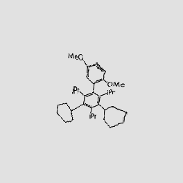 COc1ccc(OC)c(-c2c(C(C)C)c(C3CCCCC3)c(C(C)C)c(C3CCCCC3)c2C(C)C)c1